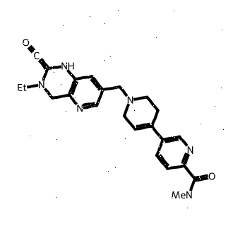 CCN1Cc2ncc(CN3CC=C(c4ccc(C(=O)NC)nc4)CC3)cc2NC1=C=O